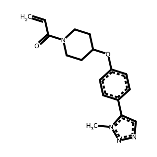 C=CC(=O)N1CCC(Oc2ccc(-c3cnnn3C)cc2)CC1